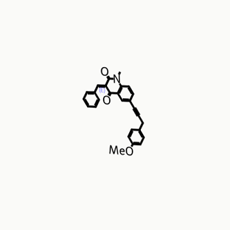 COc1ccc(CC#Cc2ccc3c(c2)C(=O)/C(=C\c2ccccc2)C(=O)N3C)cc1